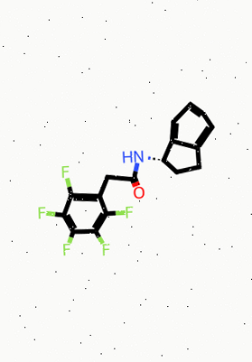 O=C(Cc1c(F)c(F)c(F)c(F)c1F)N[C@H]1CCc2ccccc21